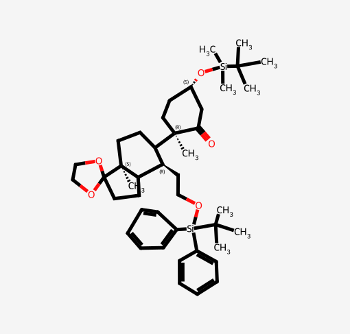 CC(C)(C)[Si](C)(C)O[C@H]1CC[C@](C)(C2CC[C@@]3(C)C(CCC34OCCO4)[C@@H]2CCO[Si](c2ccccc2)(c2ccccc2)C(C)(C)C)C(=O)C1